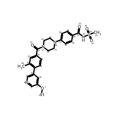 CCOc1cncc(-c2ccc(C(=O)N3CCN(c4ccc(C(=O)NS(C)(=O)=O)cc4)CC3)cc2C)c1